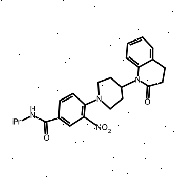 CC(C)NC(=O)c1ccc(N2CCC(N3C(=O)CCc4ccccc43)CC2)c([N+](=O)[O-])c1